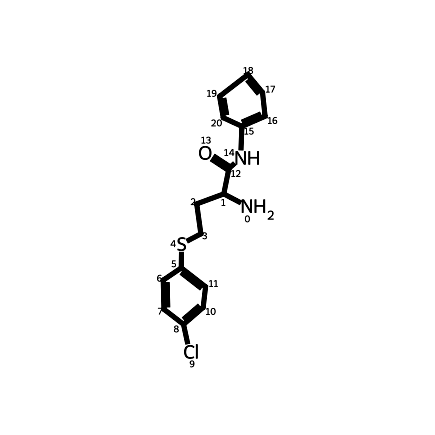 NC(CCSc1ccc(Cl)cc1)C(=O)Nc1ccccc1